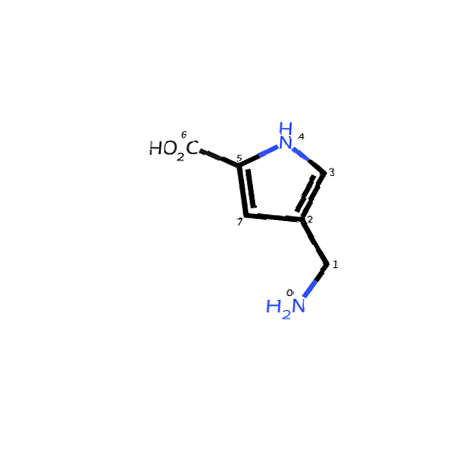 NCc1c[nH]c(C(=O)O)c1